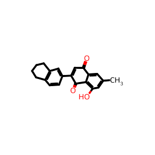 Cc1cc(O)c2c(c1)C(=O)C=C(c1ccc3c(c1)CCCC3)C2=O